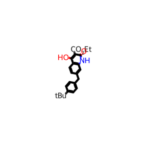 CCOC(=O)c1c(O)c2ccc(Cc3ccc(C(C)(C)C)cc3)cc2[nH]c1=O